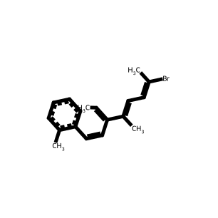 C/C=C(\C=C/c1ccccc1C)C(/C)=C/C=C(\C)Br